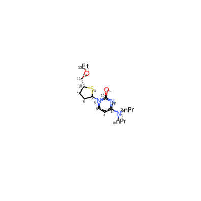 CCCN(CCC)c1ccn(C2CC[C@H](COCC)S2)c(=O)n1